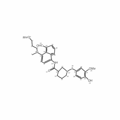 COCCCN(C)c1ccc(NC(=O)C2CCCN(Sc3ccc(O)c(OC)c3)C2)c2cccc(C=O)c12